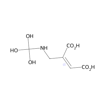 O=C(O)/C=C(/CNC(O)(O)O)C(=O)O